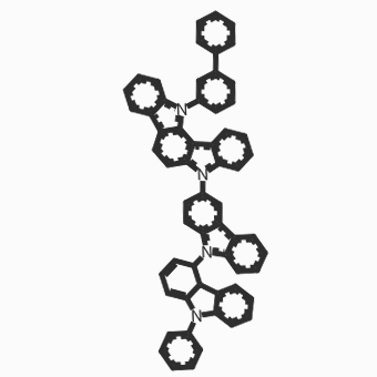 C1=CC(n2c3ccccc3c3cc(-n4c5ccccc5c5c4ccc4c6ccccc6n(-c6cccc(-c7ccccc7)c6)c45)ccc32)C2C(=C1)N(c1ccccc1)c1ccccc12